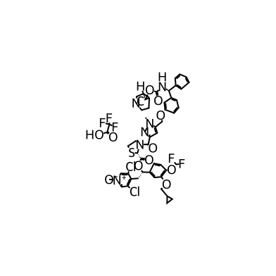 Cn1nc(C(=O)N2CCS[C@H]2C(=O)O[C@@H](Cc2c(Cl)c[n+]([O-])cc2Cl)c2ccc(OC(F)F)c(OCC3CC3)c2)cc1COc1cccc([C@@H](NC(=O)O[C@H]2CN3CCC2CC3)c2ccccc2)c1.O=C(O)C(F)(F)F